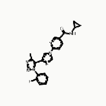 Cc1nnn(-c2ccccc2F)c1-c1cn(-c2ccc(C(=O)NC3CC3)cn2)cn1